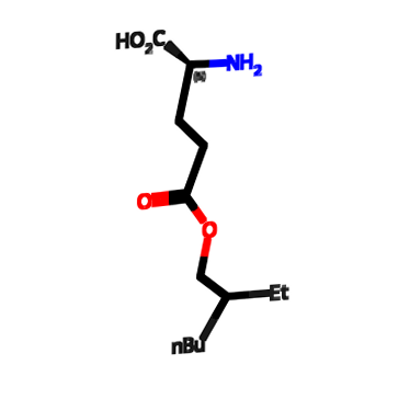 CCCCC(CC)COC(=O)CC[C@H](N)C(=O)O